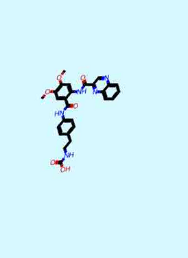 COc1cc(NC(=O)c2cnc3ccccc3n2)c(C(=O)Nc2ccc(CCNC(=O)O)cc2)cc1OC